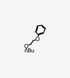 CCCCOCCOc1[c]cccc1